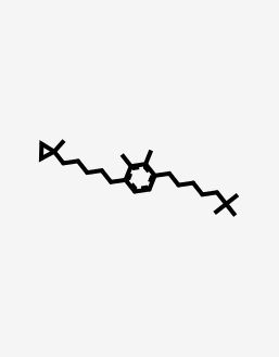 Cc1c(CCCCCC(C)(C)C)ccc(CCCCCC2(C)CC2)c1C